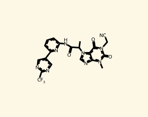 CC(C(=O)Nc1cccc(-c2cnc(C(F)(F)F)nc2)n1)n1cnc2c1c(=O)n(CC#N)c(=O)n2C